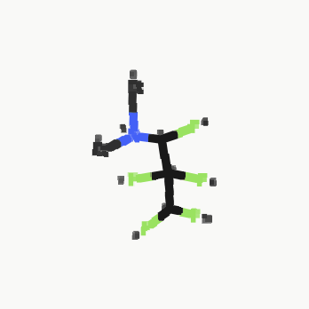 CCN(CC)C(F)C(F)(F)C(F)F